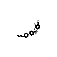 CCCC[C@H]1CC[C@H](c2ccc(C(F)(F)Oc3ccc(C#N)c(F)c3)cc2)CC1